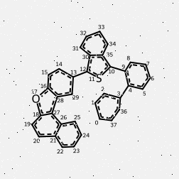 c1ccc(-c2ccccc2-c2sc(-c3ccc4oc5ccc6ccccc6c5c4c3)c3ccccc23)cc1